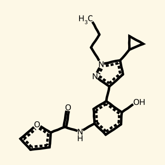 CCCn1nc(-c2cc(NC(=O)c3ccco3)ccc2O)cc1C1CC1